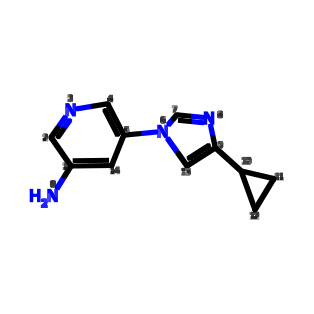 Nc1cncc(-n2cnc(C3CC3)c2)c1